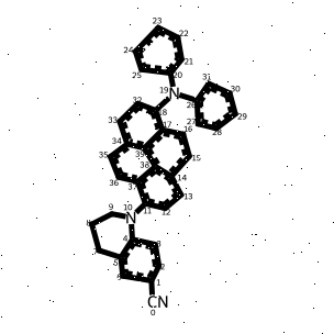 N#Cc1ccc2c(c1)CCCN2c1ccc2ccc3c(N(c4ccccc4)c4ccccc4)ccc4ccc1c2c43